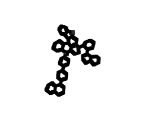 c1ccc(-c2cccc3ccccc23)c(-c2ccc(N(c3ccc(-c4ccc(-c5cccc6ccccc56)cc4)cc3)c3ccccc3-c3cccc4oc5ccccc5c34)cc2)c1